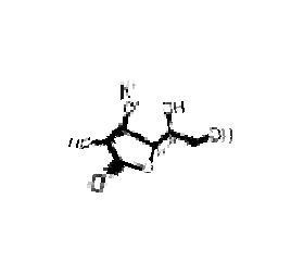 O=C1O[C@H]([C@@H](O)CO)C([O-])=C1O.[K+]